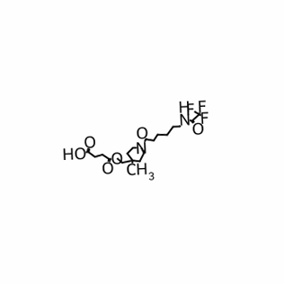 CC1(COC(=O)CCC(=O)O)CCN(C(=O)CCCCCNC(=O)C(F)(F)F)CC1